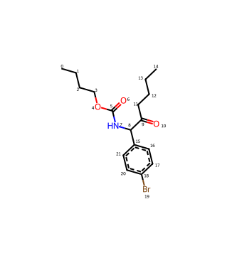 CCCCOC(=O)NC(C(=O)CCCC)c1ccc(Br)cc1